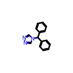 c1ccc(C(c2ccccc2)n2cnnc2)cc1